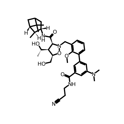 COc1c(CN2O[C@@H](CO)[C@@H]([C@H](C)O)[C@H]2C(=O)N[C@H]2CC3C[C@@H]([C@@H]2C)C3(C)C)cccc1-c1cc(C(=O)NCCC#N)cc(N(C)C)c1